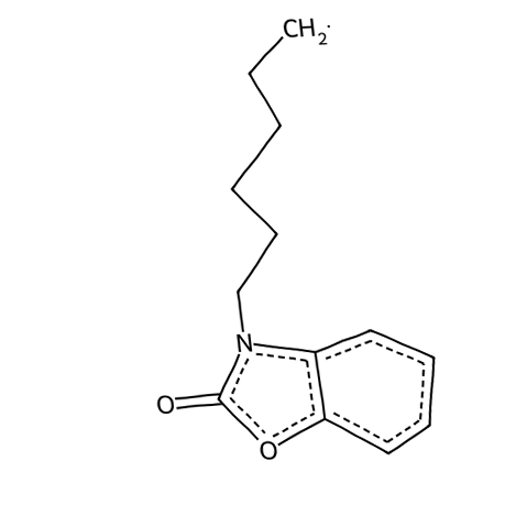 [CH2]CCCCCn1c(=O)oc2ccccc21